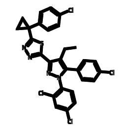 CCc1c(-c2nnc(C3(c4ccc(Cl)cc4)CC3)s2)nn(-c2ccc(Cl)cc2Cl)c1-c1ccc(Cl)cc1